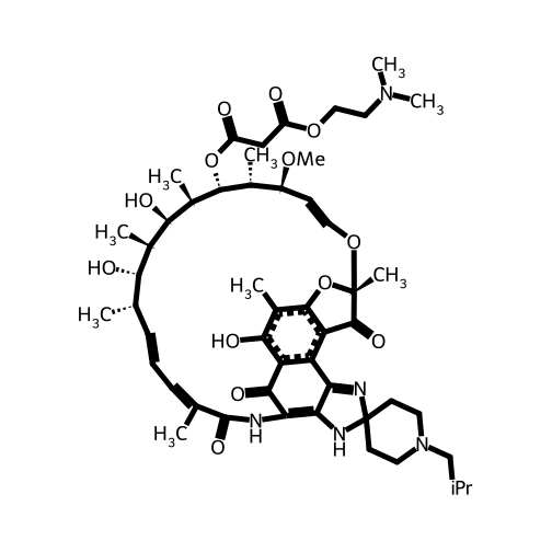 CO[C@H]1/C=C/O[C@@]2(C)Oc3c(C)c(O)c4c(c3C2=O)C2=NC3(CCN(CC(C)C)CC3)NC2=C(NC(=O)/C(C)=C\C=C\[C@H](C)[C@H](O)[C@@H](C)[C@@H](O)[C@@H](C)[C@H](OC(=O)CC(=O)OCCN(C)C)[C@@H]1C)C4=O